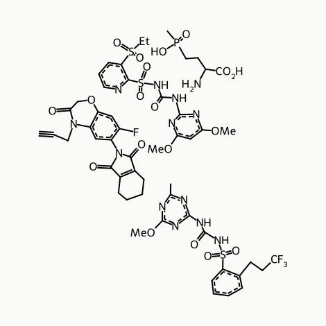 C#CCN1C(=O)COc2cc(F)c(N3C(=O)C4=C(CCCC4)C3=O)cc21.CCS(=O)(=O)c1cccnc1S(=O)(=O)NC(=O)Nc1nc(OC)cc(OC)n1.COc1nc(C)nc(NC(=O)NS(=O)(=O)c2ccccc2CCC(F)(F)F)n1.CP(=O)(O)CCC(N)C(=O)O